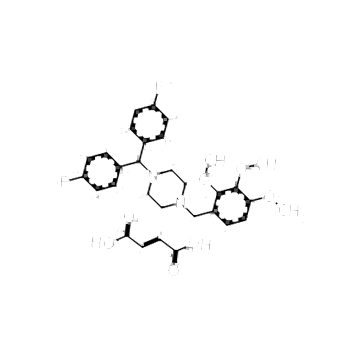 COc1ccc(CN2CCN(C(c3ccc(F)cc3)c3ccc(F)cc3)CC2)c(OC)c1OC.O=C(O)C=CC(=O)O